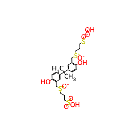 CC(C)(c1ccc(O)c(C[S+]([O-])CCCSOOO)c1)c1ccc(O)c(C[S+]([O-])CCCS(=O)(=O)O)c1